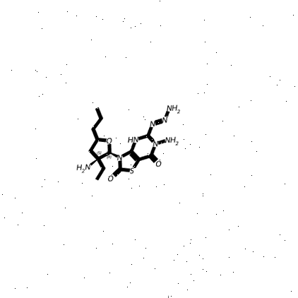 CCCC1C[C@@](N)(CC)[C@H](n2c3c(sc2=O)C(=O)N(N)C(N=NN)N3)O1